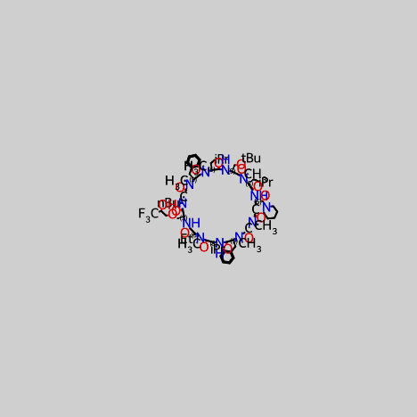 CCCCN1CC(=O)N(C)[C@@H](Cc2ccccc2)C(=O)N(C)[C@@H](CC(C)C)C(=O)N[C@@H](COC(C)(C)C)C(=O)N(C)[C@@H](CC(C)C)C(=O)N[C@H](C(=O)N2CCCCC2)CC(=O)N(C)CC(=O)N(C)[C@@H](Cc2ccccc2)C(=O)N[C@@H](C(C)C)C(=O)N(C)[C@@H](CC)C(=O)N[C@@H](COCC(O)C(F)(F)F)C1=O